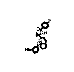 N#Cc1cccc(OC23CCCC=C2C=CC(C2(NC(=O)c4ccc(F)cc4)CC2)=N3)c1